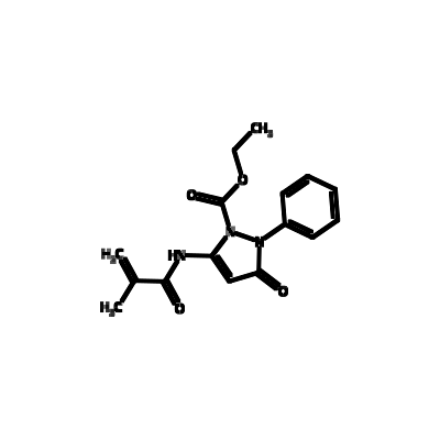 C=C(C)C(=O)Nc1cc(=O)n(-c2ccccc2)n1C(=O)OCC